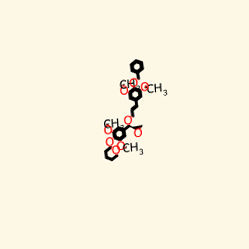 COc1cc(/C=C/COC(c2cc(OC)c(OC3CCCCO3)c(OC)c2)[C@H]2CO2)cc(OC)c1OCc1ccccc1